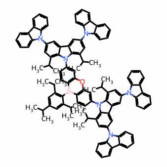 CC(C)c1cc(C(C)C)c(B2c3ccc(-n4c5c(C(C)C)cc(-n6c7ccccc7c7ccccc76)cc5c5cc(-n6c7ccccc7c7ccccc76)cc(C(C)C)c54)cc3Oc3cc(-n4c5c(C(C)C)cc(-n6c7ccccc7c7ccccc76)cc5c5cc(-n6c7ccccc7c7ccccc76)cc(C(C)C)c54)ccc32)c(C(C)C)c1